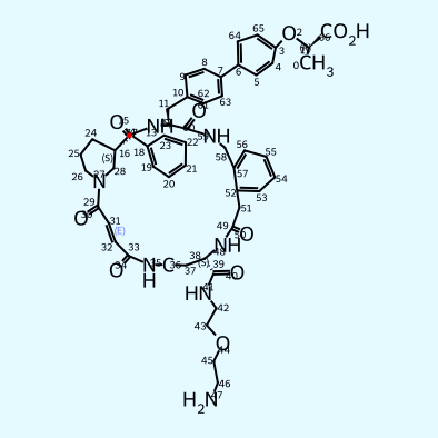 C[C@@H](Oc1ccc(-c2ccc(C[C@@H]3NC(=O)[C@]4(Cc5ccccc5)CCCN(C4)C(=O)/C=C/C(=O)NCC[C@@H](C(=O)NCCOCCN)NC(=O)Cc4ccccc4CNC3=O)cc2)cc1)C(=O)O